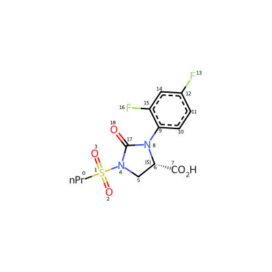 CCCS(=O)(=O)N1C[C@@H](C(=O)O)N(c2ccc(F)cc2F)C1=O